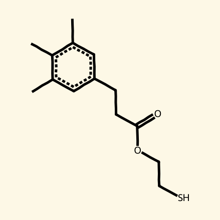 Cc1cc(CCC(=O)OCCS)cc(C)c1C